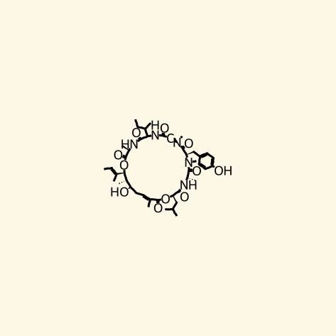 C/C=C(\C)[C@H]1OC(=O)[C@@H](C)NC(=O)C(C(C)CC)NC(=O)CN(C)C(=O)[C@@H](Cc2ccc(O)cc2)N(C)C(=O)[C@H](C)NC(=O)[C@@H](CC(C)C)OC(=O)/C(C)=C/C[C@H](O)[C@@H]1C